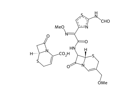 COCC1=CN2C(=O)C(NC(=O)C(=NOC)c3csc(NC=O)n3)[C@@H]2SC1.O=C(O)C1=CCS[C@H]2CC(=O)N12